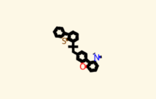 CN(C)c1cccc2oc3cc(CC(C)(C)c4cccc5c4sc4ccccc45)ccc3c12